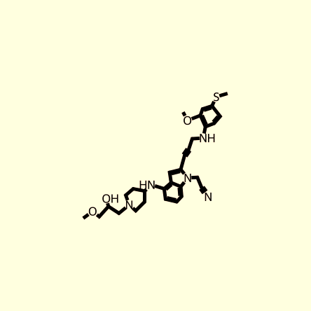 COCC(O)CN1CCC(Nc2cccc3c2cc(C#CCNc2ccc(SC)cc2OC)n3CC#N)CC1